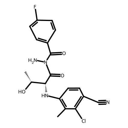 Cc1c(N[C@@H](C(=O)N(N)C(=O)c2ccc(F)cc2)[C@@H](C)O)ccc(C#N)c1Cl